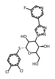 OCC1O[C@H](Sc2ccc(Cl)c(Cl)c2)C(O)C(n2cc(-c3cncc(F)c3)nn2)[C@H]1O